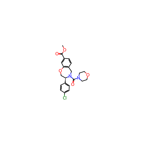 COC(=O)c1ccc2c(c1)OC[C@H](c1ccc(Cl)cc1)N(C(=O)N1CCOCC1)C2